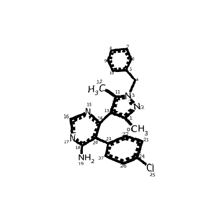 Cc1nn(Cc2ccccc2)c(C)c1-c1ncnc(N)c1-c1ccc(Cl)cc1